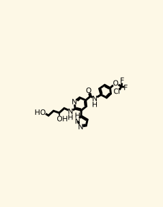 O=C(Nc1ccc(OC(F)(F)Cl)cc1)c1cnc(NC[C@@H](O)CCO)c(-c2ccn[nH]2)c1